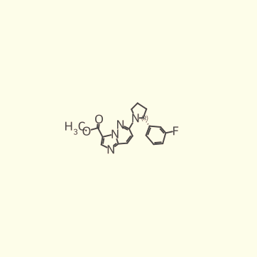 COC(=O)c1cnc2ccc(N3CCC[C@@H]3c3cccc(F)c3)nn12